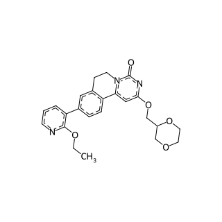 CCOc1ncccc1-c1ccc2c(c1)CCn1c-2cc(OCC2COCCO2)nc1=O